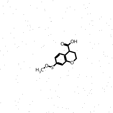 COSc1ccc2c(c1)OCCC2C(=O)O